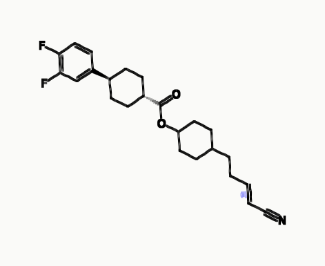 N#C/C=C/CCC1CCC(OC(=O)[C@H]2CC[C@H](c3ccc(F)c(F)c3)CC2)CC1